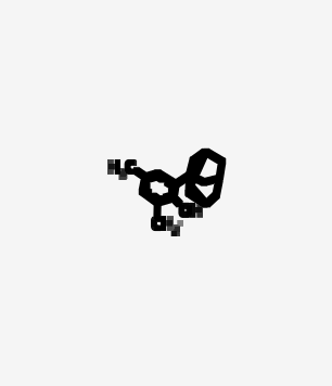 [CH2]c1cc(C)cc(C23CC4CC(CC(C4)C2)C3)c1O